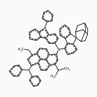 CCc1cc(N(c2ccccc2)c2ccccc2)c2ccc3c(C(C)C)cc(N(c4ccc5c(c4)c4ccccc4n5-c4ccccc4)c4cccc5c4-c4ccccc4C54C5CC6CC(C5)CC4C6)c4ccc1c2c34